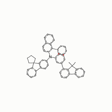 CC1(C)c2ccccc2-c2cccc(-c3cccc(N(c4ccc5c(c4)C4(CCCC4)c4ccccc4-5)c4ccc5ccccc5c4-c4ccccc4)c3)c21